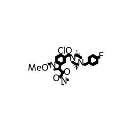 COCN1CC(C(=O)C(=O)N(C)C)c2cc(C(=O)N3C[C@H](C)N(Cc4ccc(F)cc4)C[C@H]3C)c(Cl)cc21